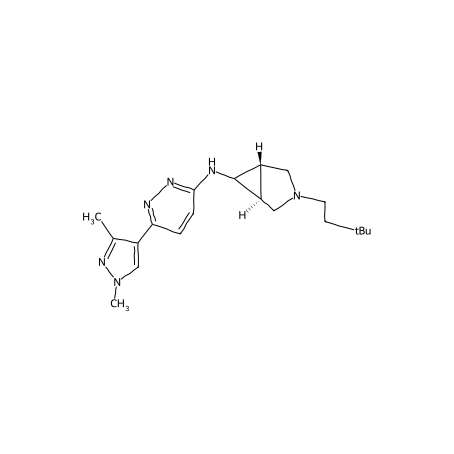 Cc1nn(C)cc1-c1ccc(NC2[C@@H]3CN(CCC(C)(C)C)C[C@@H]23)nn1